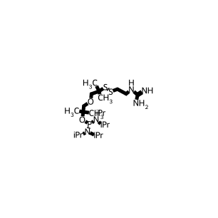 CC(C)N(C(C)C)P(OC(C)(C)COCC(C)(C)SSCCNC(=N)N)N(C(C)C)C(C)C